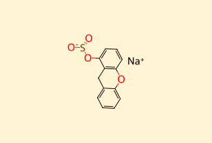 O=S([O-])Oc1cccc2c1Cc1ccccc1O2.[Na+]